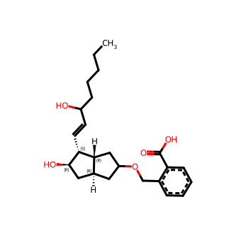 CCCCCC(O)C=C[C@@H]1[C@@H]2CC(OCc3ccccc3C(=O)O)C[C@H]2C[C@H]1O